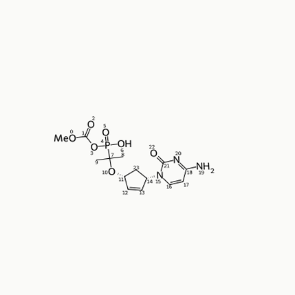 COC(=O)OP(=O)(O)C(C)(C)O[C@H]1C=C[C@@H](n2ccc(N)nc2=O)C1